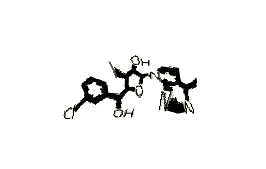 Cc1ncnc2c1ccn2C1OC(C(O)c2cccc(Cl)c2)C(I)C1O